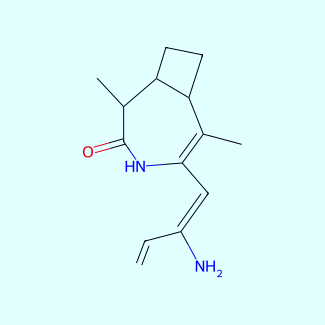 C=C/C(N)=C\C1=C(C)C2CCC2C(C)C(=O)N1